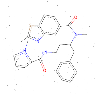 Cc1nc2cc(C(=O)N(C)C(CCNC(=O)c3cccn3C)Cc3ccccc3)ccc2s1